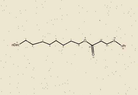 CCCCCCCCCCCCCCCCCCOC(=O)CCSCCC